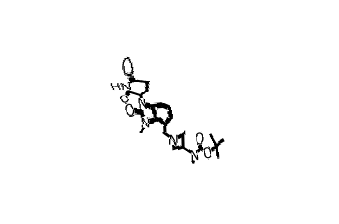 CN(C(=O)OC(C)(C)C)C1CN(Cc2cccc3c2n(C)c(=O)n3C2CCC(=O)NC2=O)C1